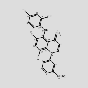 C=C1C=CN(c2cccc(NC(C)=O)c2)c2c(F)cc(F)c(Nc3ccc(I)cc3F)c21